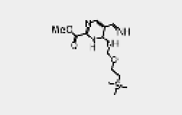 COC(=O)C1=NC=C(C=N)C(NCOCCS(C)(C)C)N1